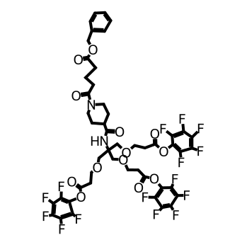 O=C(CCCC(=O)N1CCC(C(=O)NC(COCCC(=O)Oc2c(F)c(F)c(F)c(F)c2F)(COCCC(=O)Oc2c(F)c(F)c(F)c(F)c2F)COCCC(=O)Oc2c(F)c(F)c(F)c(F)c2F)CC1)OCc1ccccc1